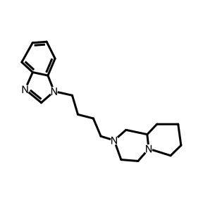 c1ccc2c(c1)ncn2CCCCN1CCN2CCCCC2C1